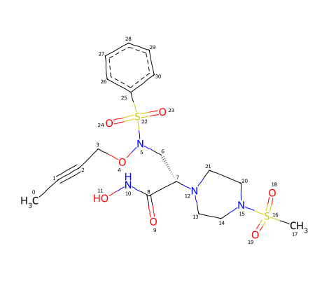 CC#CCON(C[C@@H](C(=O)NO)N1CCN(S(C)(=O)=O)CC1)S(=O)(=O)c1ccccc1